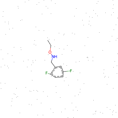 CCONCc1cc(F)ccc1F